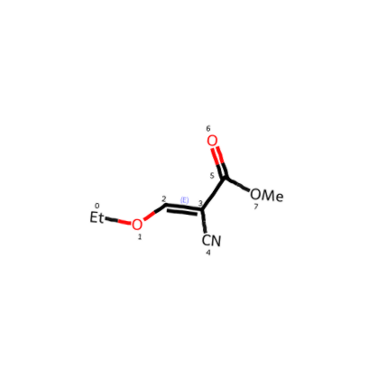 CCO/C=C(\C#N)C(=O)OC